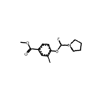 COC(=O)c1ccc(OC(F)N2CCCC2)c(C)c1